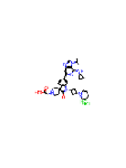 CC(C)n1cnc2cc(-c3ccc4c(c3)N([C@H]3C[C@@H](N5CCCCC5)C3)C(=O)C43CCN(CC(=O)O)CC3)nc(NC3CC3)c21.Cl.Cl